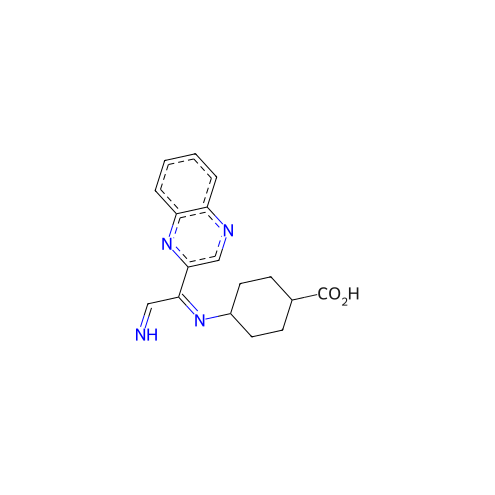 N=C/C(=N/C1CCC(C(=O)O)CC1)c1cnc2ccccc2n1